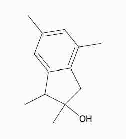 Cc1cc(C)c2c(c1)C(C)C(C)(O)C2